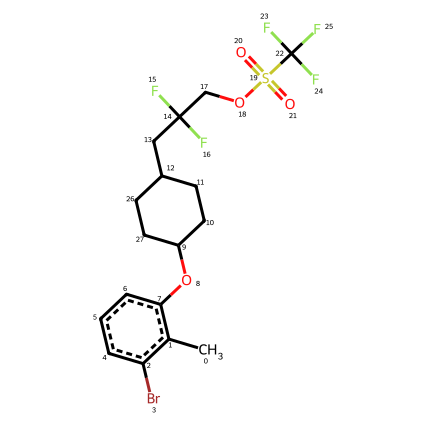 Cc1c(Br)cccc1OC1CCC(CC(F)(F)COS(=O)(=O)C(F)(F)F)CC1